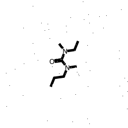 CCCN(C)C(=O)N(C)CC